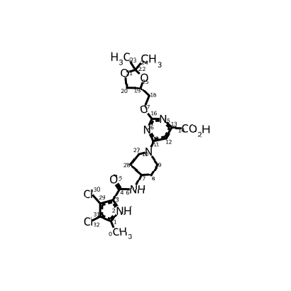 Cc1[nH]c(C(=O)NC2CCN(c3cc(C(=O)O)nc(OCC4COC(C)(C)O4)n3)CC2)c(Cl)c1Cl